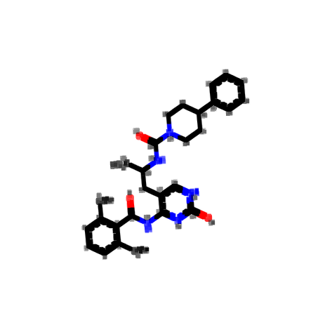 COc1cccc(OC)c1C(=O)Nc1nc(=O)[nH]cc1CC(NC(=O)N1CCC(c2ccccc2)CC1)C(=O)O